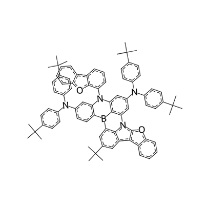 CC(C)(C)c1ccc(N(c2ccc(C(C)(C)C)cc2)c2ccc3c(c2)N(c2cccc4c2oc2ccccc24)c2cc(N(c4ccc(C(C)(C)C)cc4)c4ccc(C(C)(C)C)cc4)cc4c2B3c2cc(C(C)(C)C)cc3c5c6ccccc6oc5n-4c23)cc1